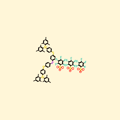 Cc1cc(C)c([S+](c2ccc(Sc3ccc([I+]c4ccc(Sc5ccc([S+](c6c(C)cc(C)cc6C)c6c(C)cc(C)cc6C)cc5)cc4)cc3)cc2)c2c(C)cc(C)cc2C)c(C)c1.O=S(=O)([O-])c1c(F)c(F)c(F)c(F)c1F.O=S(=O)([O-])c1c(F)c(F)c(F)c(F)c1F.O=S(=O)([O-])c1c(F)c(F)c(F)c(F)c1F